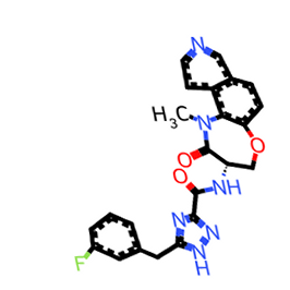 CN1C(=O)[C@@H](NC(=O)c2n[nH]c(Cc3cccc(F)c3)n2)COc2ccc3cnccc3c21